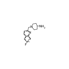 NC1CCN(Cc2ccc3cc(F)ccc3n2)CC1